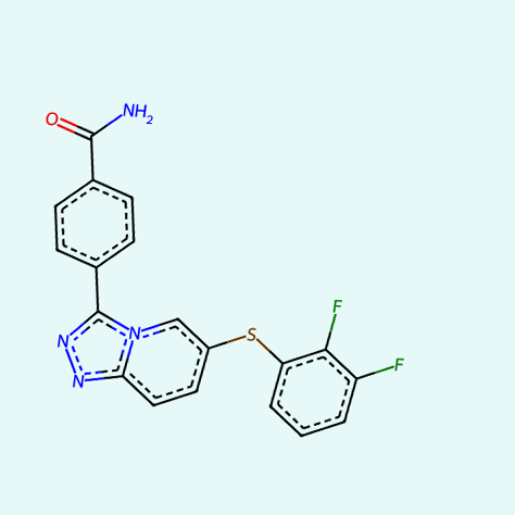 NC(=O)c1ccc(-c2nnc3ccc(Sc4cccc(F)c4F)cn23)cc1